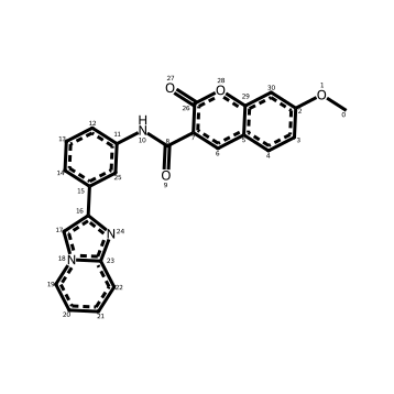 COc1ccc2cc(C(=O)Nc3cccc(-c4cn5ccccc5n4)c3)c(=O)oc2c1